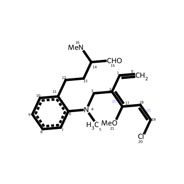 C=C/C(CN(C)c1ccccc1CCC(C=O)NC)=C(\C=C/Cl)OC